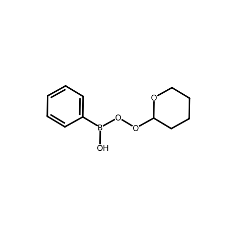 OB(OOC1CCCCO1)c1ccccc1